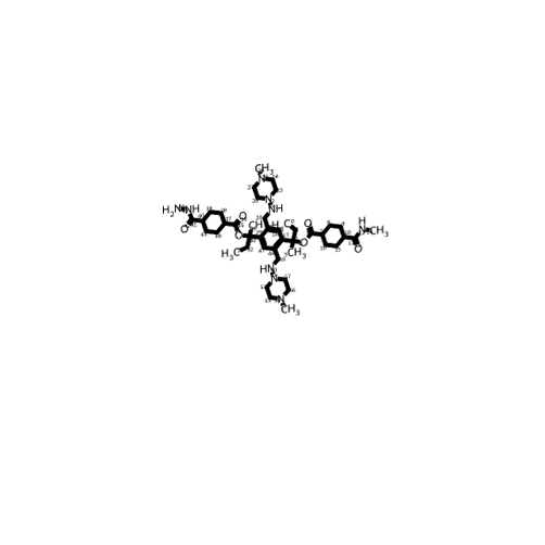 CCC(C)(OC(=O)C1CCC(C(=O)NC)CC1)c1cc(CNN2CCN(C)CC2)c(C(C)(CC)OC(=O)C2CCC(C(=O)NN)CC2)cc1CNN1CCN(C)CC1